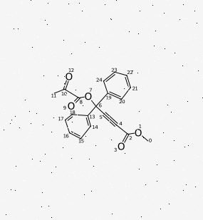 COC(=O)C#CC(OC(=O)C(C)=O)(c1ccccc1)c1ccccc1